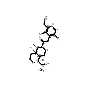 C[C@H]1[C@H]2CCC[C@@H]([C@H](O)C(F)(F)F)[C@@H]2CCN1C(=O)Cc1c(Cl)cnc(CO)c1Cl